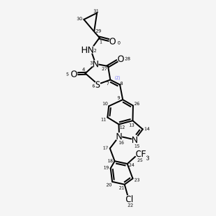 O=C(NN1C(=O)S/C(=C\c2ccc3c(cnn3Cc3ccc(Cl)cc3C(F)(F)F)c2)C1=O)C1CC1